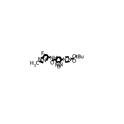 Cc1cn2cc(NC(=O)c3ccc(N4CCN(C(=O)OC(C)(C)C)CC4)c4nonc34)cc(F)c2n1